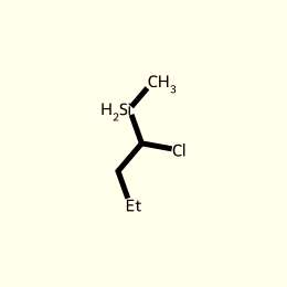 CCCC(Cl)[SiH2]C